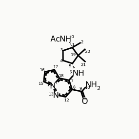 CC(=O)N[C@@]1(C)CC[C@@H](Nc2c(C(N)=O)cnn3cccc23)C1(C)C